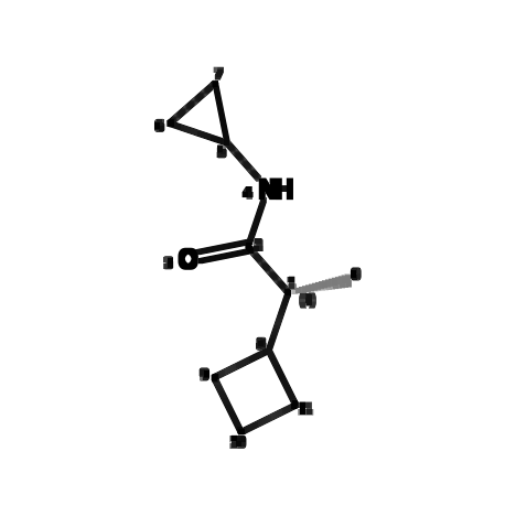 C[C@@H](C(=O)NC1CC1)C1CCC1